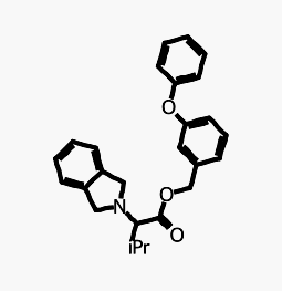 CC(C)C(C(=O)OCc1cccc(Oc2ccccc2)c1)N1Cc2ccccc2C1